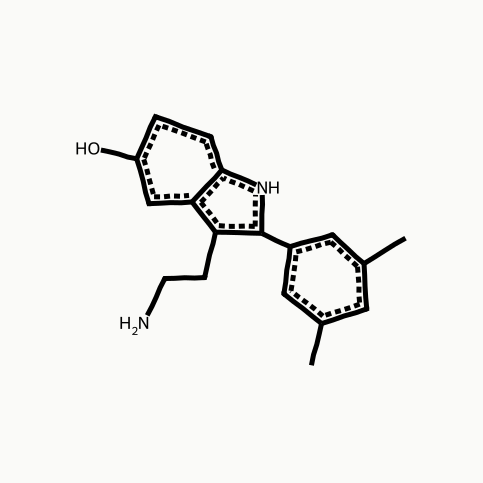 Cc1cc(C)cc(-c2[nH]c3ccc(O)cc3c2CCN)c1